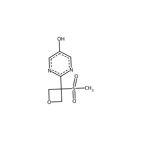 CS(=O)(=O)C1(c2ncc(O)cn2)COC1